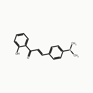 CN(C)c1ccc(/C=C/C(=O)c2cc[c]cc2O)cc1